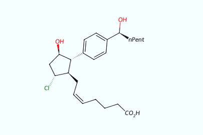 CCCCC[C@H](O)c1ccc([C@@H]2[C@@H](C/C=C\CCCC(=O)O)[C@H](Cl)C[C@H]2O)cc1